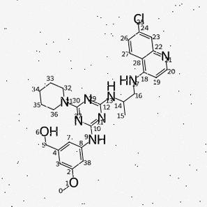 COc1cc(CO)cc(Nc2nc(NC(C)CNc3ccnc4cc(Cl)ccc34)nc(N3CCCCC3)n2)c1